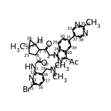 CC(=O)c1nn(CC(=O)C2[C@H](C(=O)Nc3nc(Br)ccc3CN(C)C)C[C@@]3(C)C[C@@H]23)c2ccc(-c3cnc(C)nc3)cc12